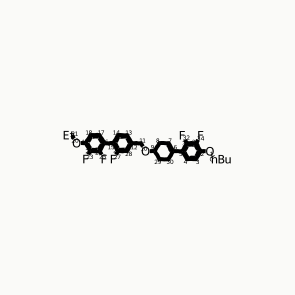 CCCCOc1ccc(C2=CCC(OCc3ccc(-c4ccc(OCC)c(F)c4F)c(F)c3)CC2)c(F)c1F